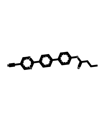 CCCC(=O)Oc1ccc(-c2ccc(-c3ncc(C#N)cn3)cc2)cc1